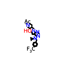 CC(=O)CN1CCC(Cn2ccc3c(N(Cc4ccc(C(F)(F)F)cc4)C4CC4)ncnc32)[C@@H](O)C1